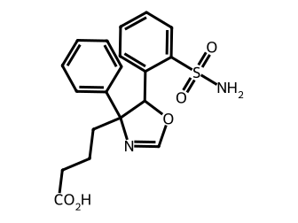 NS(=O)(=O)c1ccccc1C1OC=NC1(CCCC(=O)O)c1ccccc1